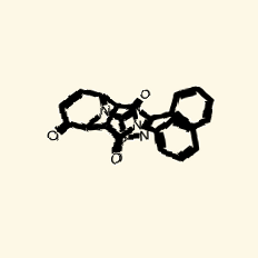 O=C1C=CC2C3C(=O)N(c4ccccc4)C(=O)C3C1N2c1nc(-c2ccccc2)ns1